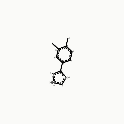 Cc1ccc(-c2nc[nH]n2)cc1C